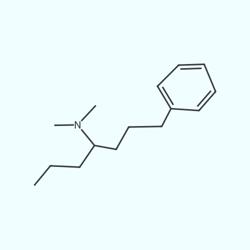 CCCC(CCCc1ccccc1)N(C)C